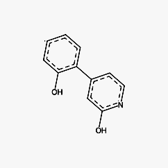 Oc1cc(-c2cc[c]cc2O)ccn1